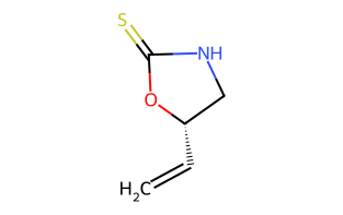 C=C[C@H]1CNC(=S)O1